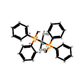 C[PH](c1ccccc1)(c1ccccc1)[Ni]([CH]=O)([CH]=O)[PH](C)(c1ccccc1)c1ccccc1